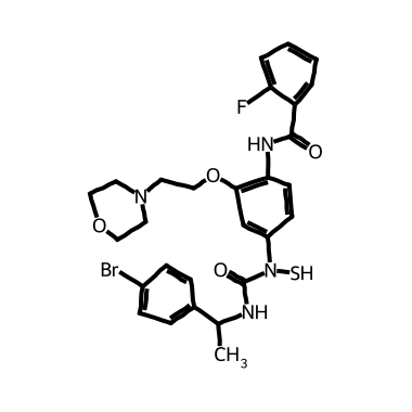 CC(NC(=O)N(S)c1ccc(NC(=O)c2ccccc2F)c(OCCN2CCOCC2)c1)c1ccc(Br)cc1